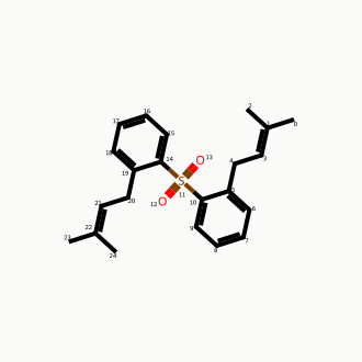 CC(C)=CCc1ccccc1S(=O)(=O)c1ccccc1CC=C(C)C